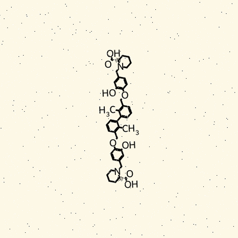 Cc1c(COc2ccc(CN3CCCC[C@H]3C(=O)O)cc2O)cccc1-c1cccc(COc2ccc(CN3CCCC[C@H]3C(=O)O)cc2O)c1C